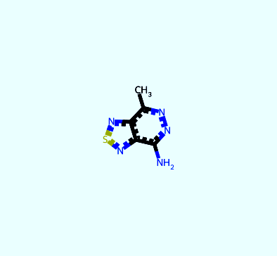 Cc1nnc(N)c2nsnc12